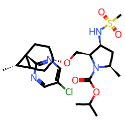 CC(C)OC(=O)N1[C@H](C)C[C@H](NS(C)(=O)=O)[C@@H]1CO[C@H]1CC[C@]2(c3ncc(Cl)cn3)C(C1)[C@@H]2C